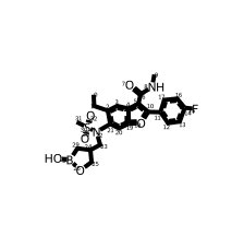 CCc1cc2c(C(=O)NC)c(-c3ccc(F)cc3)oc2cc1N(CC1COB(O)C1)S(C)(=O)=O